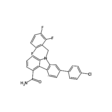 NC(=O)c1cccc2c1c1[c]cc(-c3ccc(Cl)cc3)cc1n2Cc1c(F)ccc(F)c1F